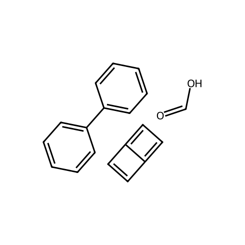 O=CO.c1cc2ccc1-2.c1ccc(-c2ccccc2)cc1